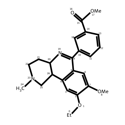 CCOc1cc2c(cc1OC)C(c1cccc(C(=O)OC)c1)=NC1CCN(C)CC21